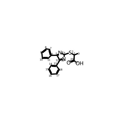 CC(SC1N=C(c2ccccc2)C(c2ccccc2)=N1)C(=O)O